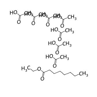 CC(=O)O.CC(=O)O.CC(=O)O.CC(=O)O.CC(=O)O.CC(=O)O.CC(=O)O.CCCCCCCC(=O)OCC